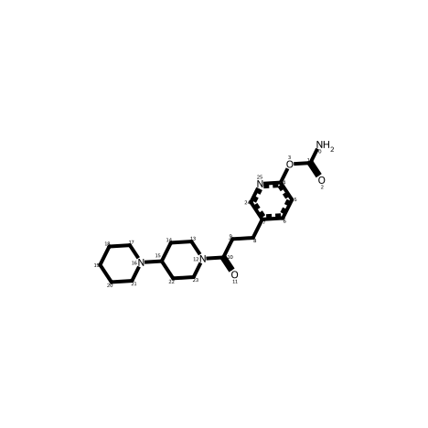 NC(=O)Oc1ccc(C[CH]C(=O)N2CCC(N3CCCCC3)CC2)cn1